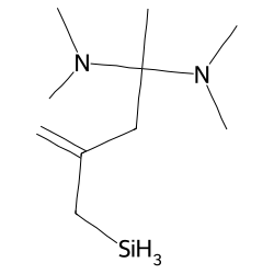 C=C(C[SiH3])CC(C)(N(C)C)N(C)C